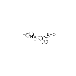 CC1=CC2CCC=C(C(=O)C(C)C3CCc4c(cc(OC=O)c5cccc(C)c45)C3)N=C2C=C1